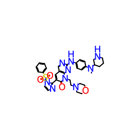 CN(c1ccc(Nc2ncc3cc(-c4nccn4S(=O)(=O)c4ccccc4)c(=O)n(CCN4CCOCC4)c3n2)cc1)C1CCCNC1